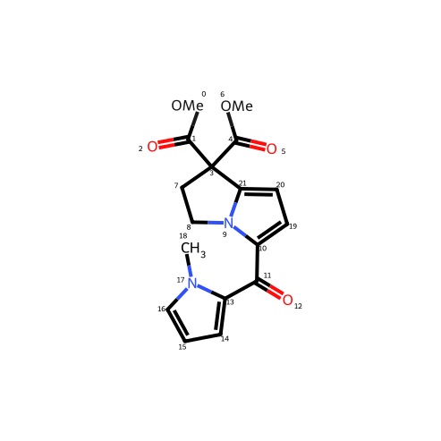 COC(=O)C1(C(=O)OC)CCn2c(C(=O)c3cccn3C)ccc21